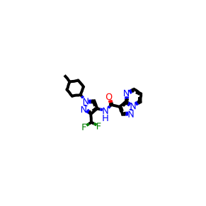 CC1CCC(n2cc(NC(=O)c3cnn4cccnc34)c(C(F)F)n2)CC1